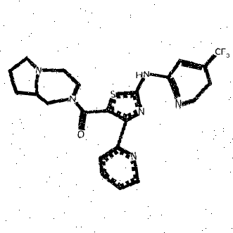 O=C(c1sc(NC2=NCCC(C(F)(F)F)=C2)nc1-c1ccccn1)N1CCN2CCCC2C1